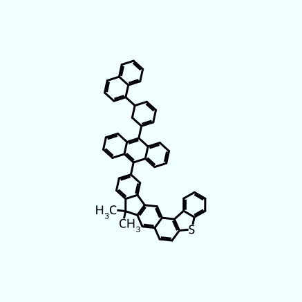 CC1(C)c2ccc(-c3c4ccccc4c(C4=CC=CC(c5cccc6ccccc56)C4)c4ccccc34)cc2-c2cc3c(ccc4sc5ccccc5c43)cc21